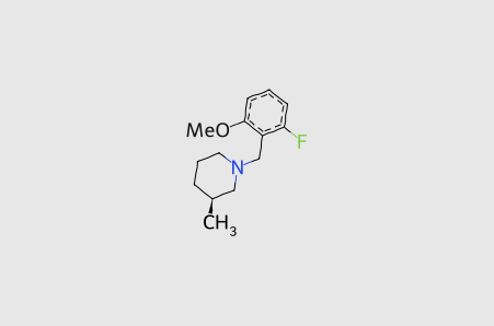 COc1cccc(F)c1CN1CCC[C@H](C)C1